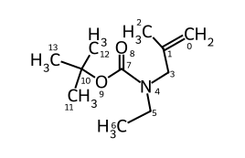 C=C(C)CN(CC)C(=O)OC(C)(C)C